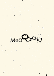 COc1cccc2c1CCC2C=O